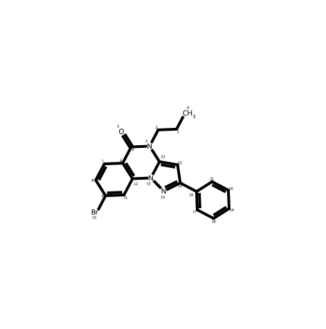 CCCn1c(=O)c2ccc(Br)cc2n2nc(-c3ccccc3)cc12